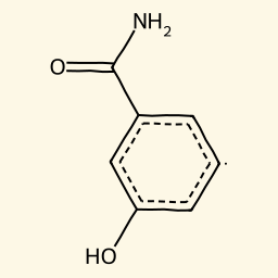 NC(=O)c1c[c]cc(O)c1